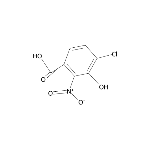 O=C(O)c1ccc(Cl)c(O)c1[N+](=O)[O-]